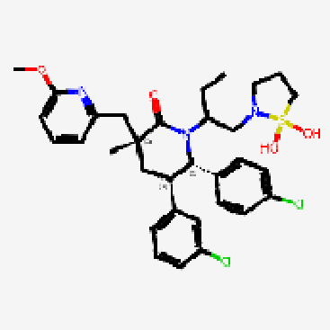 CCC(CN1CCCS1(O)O)N1C(=O)[C@@](C)(Cc2cccc(OC)n2)C[C@H](c2cccc(Cl)c2)[C@H]1c1ccc(Cl)cc1